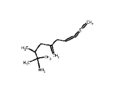 C=C=C=CCC(=C)CC(C)C(C)(C)N